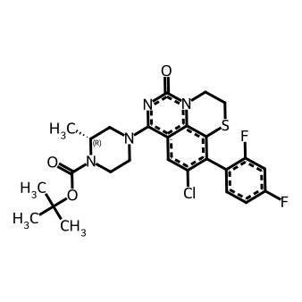 C[C@@H]1CN(c2nc(=O)n3c4c(c(-c5ccc(F)cc5F)c(Cl)cc24)SCC3)CCN1C(=O)OC(C)(C)C